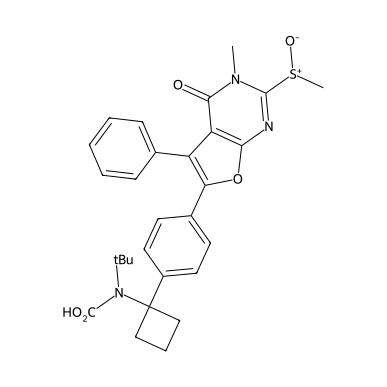 Cn1c([S+](C)[O-])nc2oc(-c3ccc(C4(N(C(=O)O)C(C)(C)C)CCC4)cc3)c(-c3ccccc3)c2c1=O